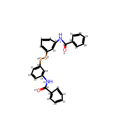 O=C(Nc1cccc(SSc2cccc(NC(=O)c3ccccc3)c2)c1)c1ccccc1